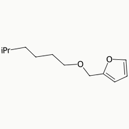 CC(C)CCCCOCc1ccco1